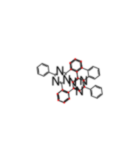 c1ccc(-c2nc(-c3ccccc3)nc(-c3ccccc3-c3ccccc3-c3ccccc3-c3ccccc3-c3nc(-c4ccccc4)nc(-c4ccccc4)n3)n2)cc1